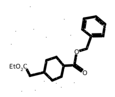 CCOC(=O)CC1CCC(C(=O)OCc2ccccc2)CC1